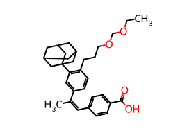 CCOCOCCCc1ccc(/C(C)=C\c2ccc(C(=O)O)cc2)cc1C12CC3CC(CC(C3)C1)C2